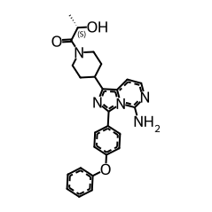 C[C@H](O)C(=O)N1CCC(c2nc(-c3ccc(Oc4ccccc4)cc3)n3c(N)nccc23)CC1